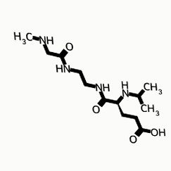 CNCC(=O)NCCNC(=O)[C@H](CCC(=O)O)NC(C)C